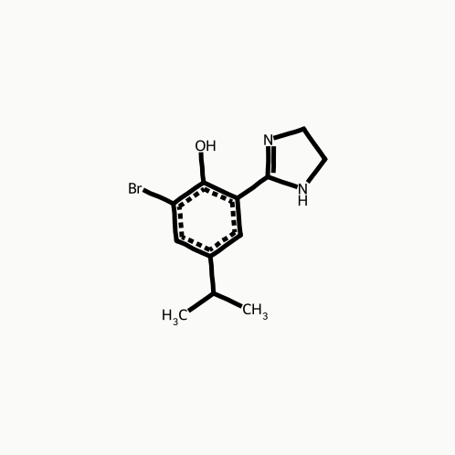 CC(C)c1cc(Br)c(O)c(C2=NCCN2)c1